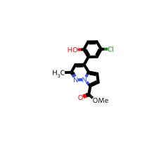 COC(=O)c1ccc2c(-c3cc(Cl)ccc3O)cc(C)nn12